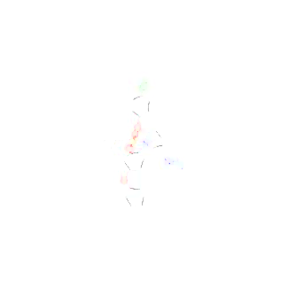 NCC1=C[N+](c2ccc(Oc3ccccc3)cc2)(S(=O)(=O)CC(F)(F)F)C(Oc2ccc(Cl)cc2)C=C1